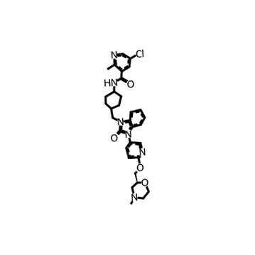 Cc1ncc(Cl)cc1C(=O)NC1CCC(Cn2c(=O)n(-c3ccc(OC[C@@H]4CN(C)CCO4)nc3)c3ccccc32)CC1